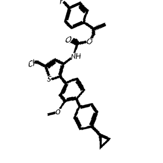 COc1cc(-c2sc(Cl)cc2NC(=O)OC(C)c2ccc(F)cc2)ccc1-c1ccc(C2CC2)cc1